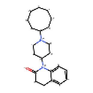 O=C1CCc2ccccc2N1C1CCN(C2CCCCCCC2)CC1